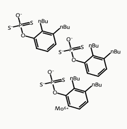 CCCCc1cccc(OP([O-])(=S)[S-])c1CCCC.CCCCc1cccc(OP([O-])(=S)[S-])c1CCCC.CCCCc1cccc(OP([O-])(=S)[S-])c1CCCC.[Mo+6]